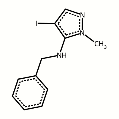 Cn1ncc(I)c1NCc1ccccc1